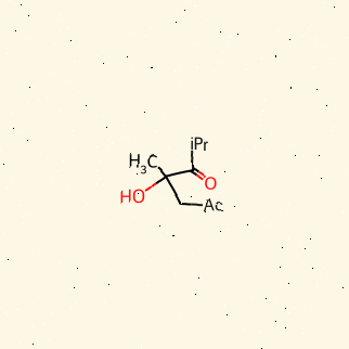 CC(=O)CC(C)(O)C(=O)C(C)C